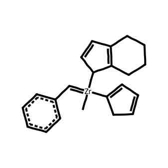 [CH3][Zr](=[CH]c1ccccc1)([C]1=CC=CC1)[CH]1C=CC2=C1CCCC2